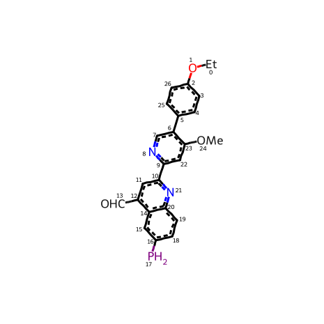 CCOc1ccc(-c2cnc(-c3cc(C=O)c4cc(P)ccc4n3)cc2OC)cc1